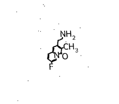 Cc1c(CCN)cc2ccc(F)cn2c1=O